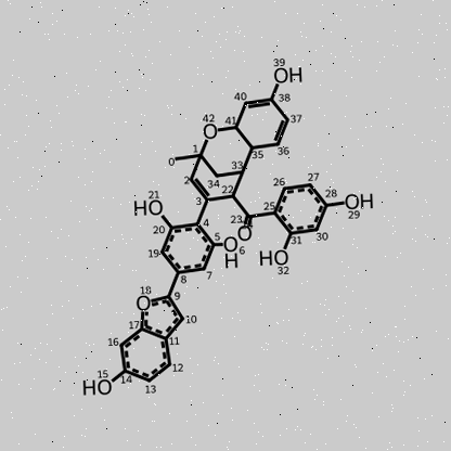 CC12C=C(c3c(O)cc(-c4cc5ccc(O)cc5o4)cc3O)C(C(=O)c3ccc(O)cc3O)C(C1)C1C=CC(O)=CC1O2